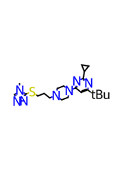 Cn1cnnc1SCCCN1CCN(c2cc(C(C)(C)C)nc(C3CC3)n2)CC1